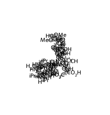 C#CCC(Cc1cnc2nc(N)nc(N)c2n1)c1ccc(C(=O)N[C@@H](CCC(=O)O)C(=O)O)cc1.CC(C)CC(=O)N[C@H](C(=O)N[C@H](C(=O)N[C@@H](CC(C)C)[C@@H](O)CC(=O)N[C@@H](C)C(=O)N[C@@H](CC(C)C)[C@@H](O)CC(=O)O)C(C)C)C(C)C.COc1cc([C@@H]2c3cc4c(cc3[C@@H](O[C@@H]3O[C@@H]5CO[C@@H](C)O[C@H]5[C@H](O)[C@H]3O)[C@H]3COC(=O)[C@H]23)OCO4)cc(OC)c1O.Cn1nnc2c(C(N)=O)ncn2c1=O